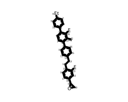 CCc1ccc(-c2ccc(-c3ccc(CCc4ccc(C5CO5)cc4F)cc3)c(F)c2F)cc1